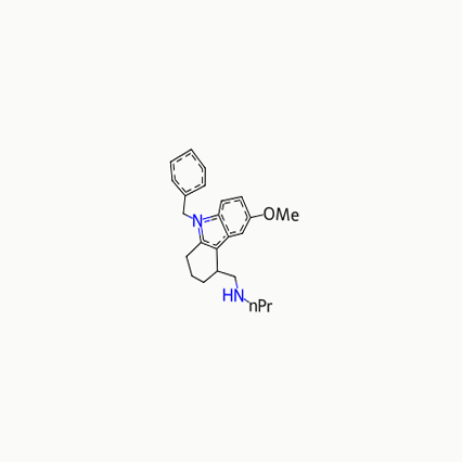 CCCNCC1CCCc2c1c1cc(OC)ccc1n2Cc1ccccc1